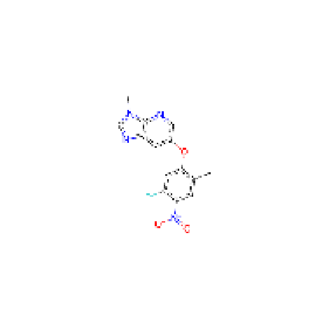 Cc1cc([N+](=O)[O-])c(F)cc1Oc1cnc2c(c1)ncn2C